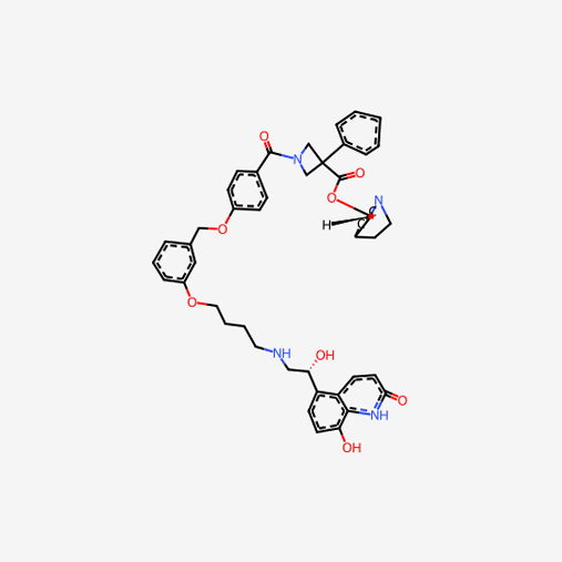 O=C(c1ccc(OCc2cccc(OCCCCNC[C@H](O)c3ccc(O)c4[nH]c(=O)ccc34)c2)cc1)N1CC(C(=O)O[C@H]2CN3CCC2CC3)(c2ccccc2)C1